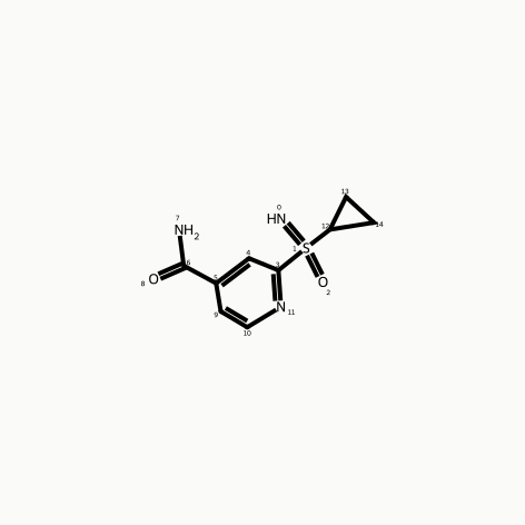 N=S(=O)(c1cc(C(N)=O)ccn1)C1CC1